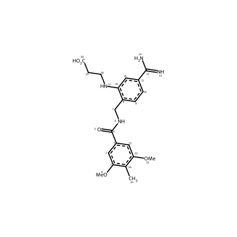 COc1cc(C(=O)NCc2ccc(C(=N)N)cc2NCCC(=O)O)cc(OC)c1C